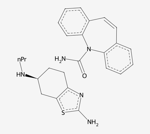 CCCN[C@H]1CCc2nc(N)sc2C1.NC(=O)N1c2ccccc2C=Cc2ccccc21